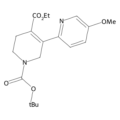 CCOC(=O)C1=C(c2ccc(OC)cn2)CN(C(=O)OC(C)(C)C)CC1